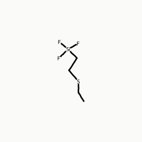 CCSCC[Si](F)(F)F